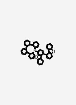 c1ccc2c(c1)oc1cccc(-c3ccc(-n4c5ccccc5c5ccccc5c5ccccc5c5ccccc54)c4oc5ccccc5c34)c12